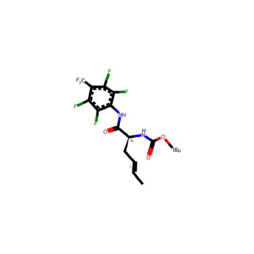 C/C=C/C[C@H](NC(=O)OC(C)(C)C)C(=O)Nc1c(F)c(F)c(C(F)(F)F)c(F)c1F